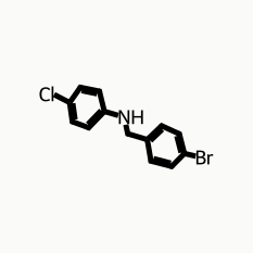 Clc1ccc(NCc2ccc(Br)cc2)cc1